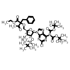 CCOC(=O)C(Cc1ccccc1)(OC[C@H]1O[C@@H](n2cnc3c(N(C(=O)OC(C)(C)C)C(=O)OC(C)(C)C)nc(Cl)nc32)[C@H](O[Si](C)(C)C(C)(C)C)[C@@H]1N)C(C)=O